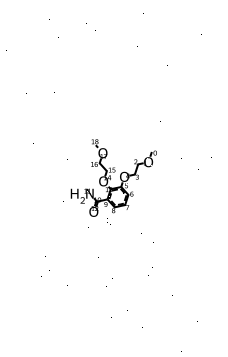 COCCOc1cccc(C(N)=O)c1OCCOC